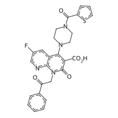 O=C(Cn1c(=O)c(C(=O)O)c(N2CCN(C(=O)c3cccs3)CC2)c2cc(F)cnc21)c1ccccc1